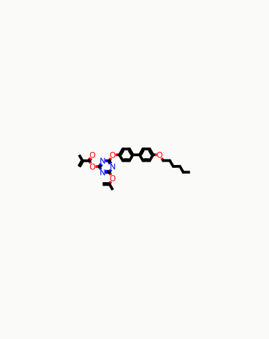 C=C(C)Oc1nc(OC(=O)C(=C)C)nc(Oc2ccc(-c3ccc(OCCCCCC)cc3)cc2)n1